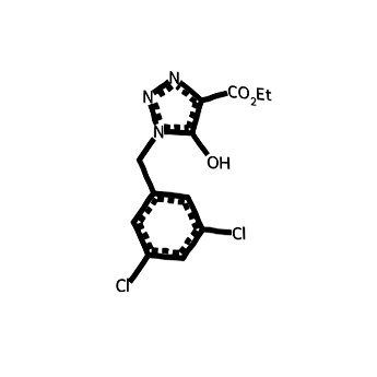 CCOC(=O)c1nnn(Cc2cc(Cl)cc(Cl)c2)c1O